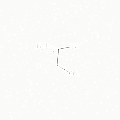 CC[C@H](N)O